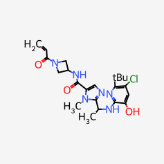 C=CC(=O)N1CC(NC(=O)c2cnc(C(C)Nc3nc(C(C)(C)C)c(Cl)cc3O)n2C)C1